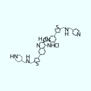 Cc1cc(-c2csc(CNCc3ccncc3)c2)cc(Cl)c1Nc1c(C#N)cnc2cc(-c3csc(CNCC4CCNCC4)c3)ccc12